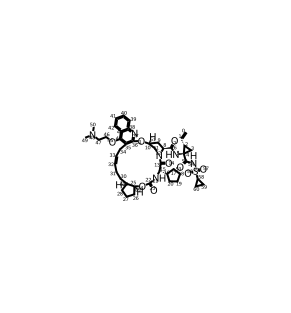 C=C[C@@H]1C[C@]1(NC(=O)[C@@H]1C[C@@H]2CN1C(=O)[C@H](C1CCCC1)NC(=O)O[C@@H]1CCC[C@H]1CCC=CCc1c(nc3ccccc3c1OCCN(C)C)O2)C(=O)NS(=O)(=O)C1CC1